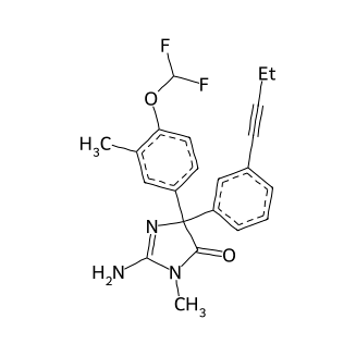 CCC#Cc1cccc(C2(c3ccc(OC(F)F)c(C)c3)N=C(N)N(C)C2=O)c1